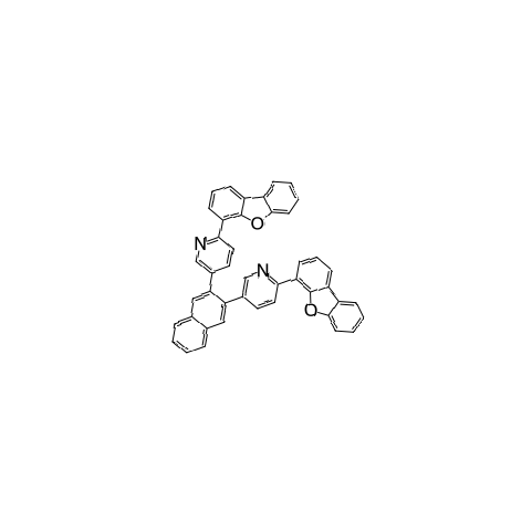 c1ccc2cc(-c3ccc(-c4cccc5c4oc4ccccc45)nc3)c(-c3ccc(-c4cccc5c4oc4ccccc45)nc3)cc2c1